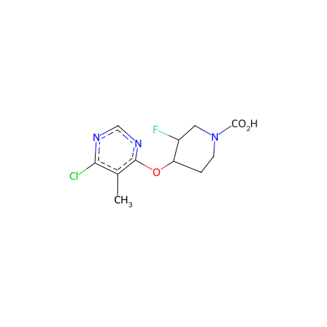 Cc1c(Cl)ncnc1OC1CCN(C(=O)O)CC1F